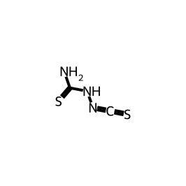 NC(=S)NN=C=S